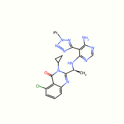 CC(C)n1nnc(-c2c(N)ncnc2N[C@@H](C)c2nc3cccc(Cl)c3c(=O)n2C2CC2)n1